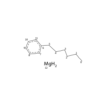 CCCCCCc1cc[c]cc1.[MgH2]